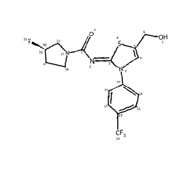 O=C(N=c1sc(CO)cn1-c1ccc(C(F)(F)F)cc1)N1CC[C@@H](F)C1